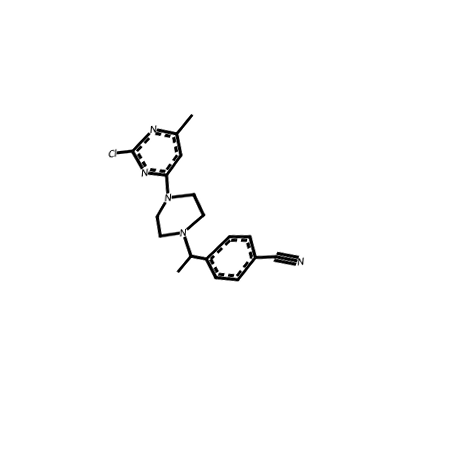 Cc1cc(N2CCN(C(C)c3ccc(C#N)cc3)CC2)nc(Cl)n1